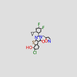 O=c1c2c(nc(-c3cc(F)c(F)cc3C3CC3)n1Cc1ccno1)sc1c(O)c(Cl)ccc12